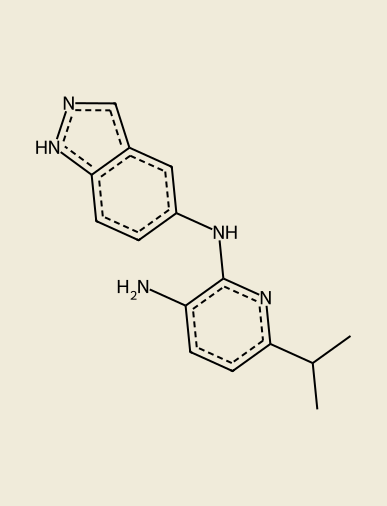 CC(C)c1ccc(N)c(Nc2ccc3[nH]ncc3c2)n1